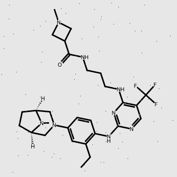 CCc1cc(N2C[C@H]3CC[C@@H](C2)N3C)ccc1Nc1ncc(C(F)(F)F)c(NCCCNC(=O)C2CN(C)C2)n1